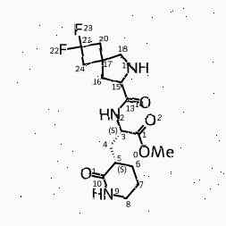 COC(=O)[C@H](C[C@@H]1CCCNC1=O)NC(=O)C1CC2(CN1)CC(F)(F)C2